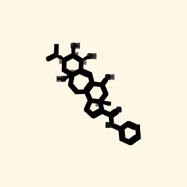 CN(C)[C@H]1C[C@]2(O)CCC3=C(C=C2[C@@H](O)[C@@H]1O)C(O)C[C@]1(C)C(C(=O)Nc2cccnc2)=CCC31